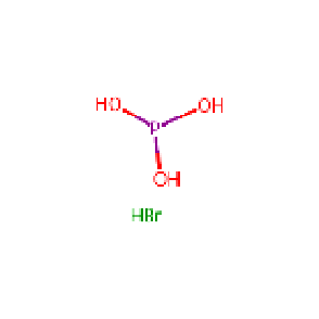 Br.OP(O)O